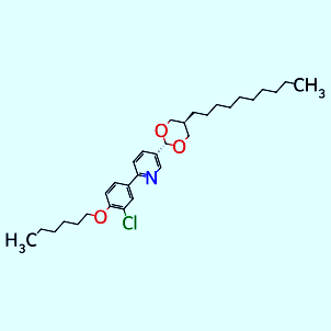 CCCCCCCCCC[C@H]1CO[C@H](c2ccc(-c3ccc(OCCCCCC)c(Cl)c3)nc2)OC1